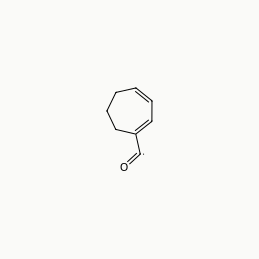 O=[C]C1=CC=CCCC1